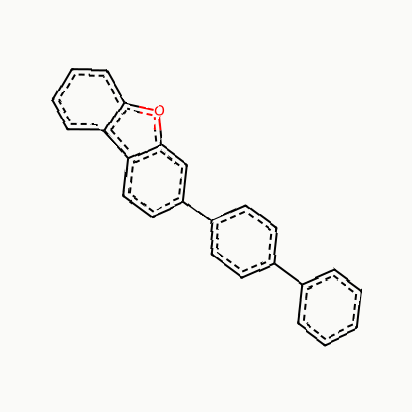 c1ccc(-c2ccc(-c3ccc4c(c3)oc3ccccc34)cc2)cc1